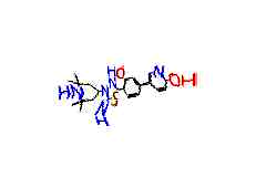 COc1cc(-c2ccc(O)nc2)ccc1C(=N)SC(=N)N(C)C1CC(C)(C)NC(C)(C)C1